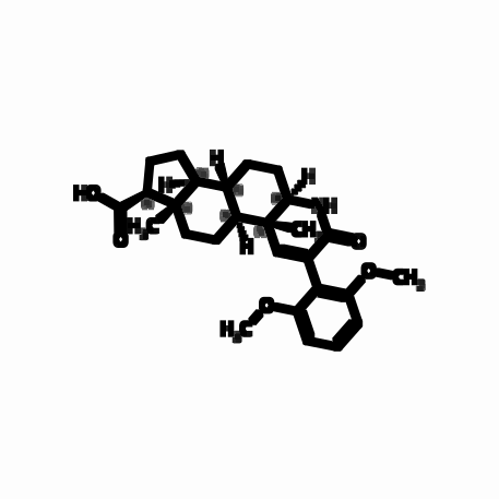 COc1cccc(OC)c1C1=C[C@@]2(C)[C@@H](CC[C@@H]3[C@@H]2CC[C@]2(C)[C@@H](C(=O)O)CC[C@@H]32)NC1=O